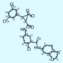 O=C(Nc1ccc2ncoc2c1)c1cc(NC(=O)C2C(c3cc(Cl)cc(Cl)c3)C2(Cl)Cl)ccc1Cl